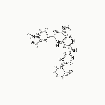 Cn1ccc2cc(CNc3cc(Nc4ccc(N5CCCCC5=O)cn4)ncc3C(N)=O)ccc21